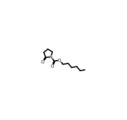 CCCCCCOC(=O)N1CCCC1=O